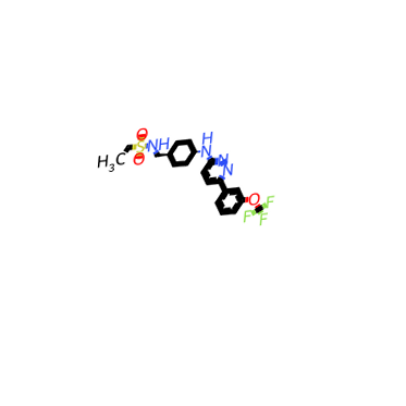 CCS(=O)(=O)NC[C@H]1CC[C@H](Nc2ccc(-c3cccc(OC(F)(F)F)c3)nn2)CC1